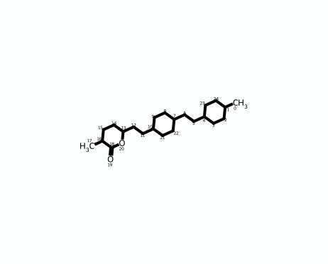 CC1CCC(CCC2CCC(CCC3CCC(C)C(=O)O3)CC2)CC1